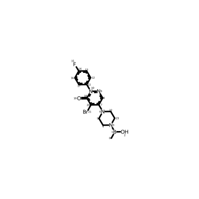 CB(O)N1CCN(c2cnn(-c3ccc(F)cc3)c(=O)c2Br)CC1